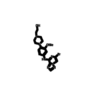 COc1cc(Nc2nc(Br)cn3ncnc23)ccc1N1CCN(CCO)CC1